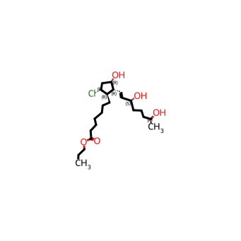 CCCOC(=O)CCCCCC[C@@H]1[C@@H](C=C[C@@H](O)CCC[C@@H](C)O)[C@H](O)C[C@H]1Cl